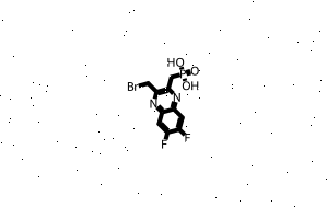 O=P(O)(O)Cc1nc2cc(F)c(F)cc2nc1CBr